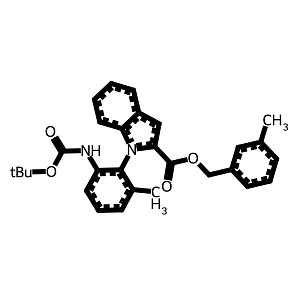 Cc1cccc(COC(=O)c2cc3ccccc3n2-c2c(C)cccc2NC(=O)OC(C)(C)C)c1